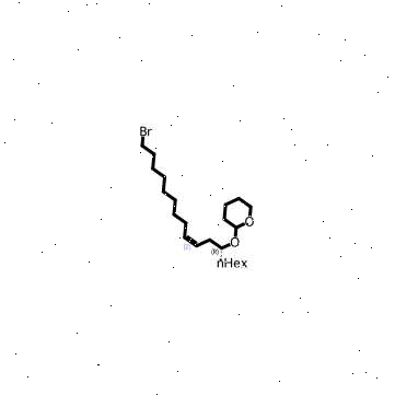 CCCCCC[C@H](C/C=C\CCCCCCCCBr)OC1CCCCO1